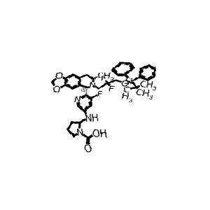 C[C@@H]1Cc2cc3c(cc2[C@@H](c2ncc(NC4CCCN4C(=O)O)cc2F)N1CC(F)(F)CO[Si](c1ccccc1)(c1ccccc1)C(C)(C)C)OCO3